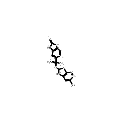 CC(C)c1cc2c(nn1)SC(OC(C)(C)c1cc3[nH]c(=O)sc3cn1)N2